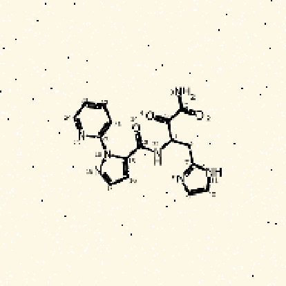 NC(=O)C(=O)C(Cc1ncc[nH]1)NC(=O)c1ccnn1-c1ccccn1